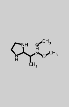 CO[SiH](OC)C(C)[C]1NCCN1